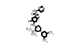 CN(C)[C@H]1C[C@@H](c2cc(C(F)(F)F)cc(C(F)(F)F)c2)CC[C@@H]1Nc1cc(F)c(S(=O)(=O)Nc2ccncn2)cc1F